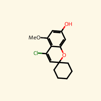 COc1cc(O)cc2c1C(Cl)=CC1(CCCCC1)O2